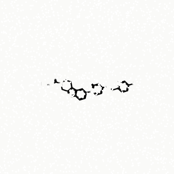 CC(C)(C)OC(=O)N1CCc2c(sc3ccc(-n4ccc(OCc5ccc(F)cn5)cc4=O)cc23)C1